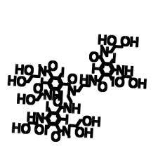 CN(CC(O)CO)C(=O)c1c(I)c(NC(=O)CO)c(I)c(C(=O)NCCCN(CCNC(=O)c2c(I)c(NC(=O)CO)c(I)c(C(=O)N(C)CC(O)CO)c2I)C(=O)c2c(I)c(NC(=O)CO)c(I)c(C(=O)N(C)CC(O)CO)c2I)c1I